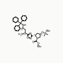 CC(C)(C)OC(=O)N1C[C@H](O[Si](C)(C)C(C)(C)C)C[C@H]1c1noc([C@@H](N)CC(=O)NC(c2ccccc2)(c2ccccc2)c2ccccc2)n1